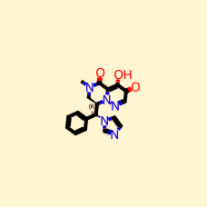 CN1C[C@H]([C@@H](c2ccccc2)n2ccnc2)n2ncc(=O)c(O)c2C1=O